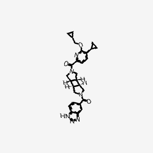 O=C(c1ccc2[nH]nnc2c1)N1C[C@@H]2[C@H](C1)[C@H]1CN(C(=O)c3ccc(C4CC4)c(OCC4CC4)n3)C[C@@H]21